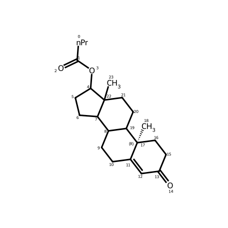 CCCC(=O)OC1CCC2C3CCC4=CC(=O)CC[C@]4(C)C3CCC12C